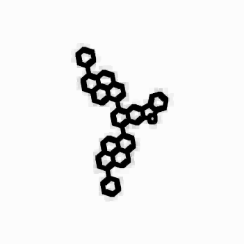 c1ccc(-c2ccc3ccc4c(-c5ccc(-c6ccc7ccc8c(-c9ccccc9)ccc9ccc6c7c98)c6cc7c(cc56)oc5ccccc57)ccc5ccc2c3c54)cc1